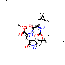 COC(=O)[C@H](C[C@@H]1CCNC1=O)NC(=O)[C@H](CC1CC1)NC(=O)OC(C)(C)C